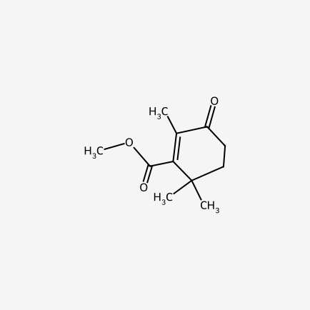 COC(=O)C1=C(C)C(=O)CCC1(C)C